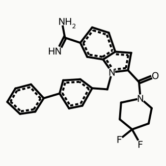 N=C(N)c1ccc2cc(C(=O)N3CCC(F)(F)CC3)n(Cc3ccc(-c4ccccc4)cc3)c2c1